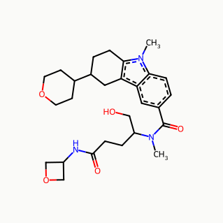 CN(C(=O)c1ccc2c(c1)c1c(n2C)CCC(C2CCOCC2)C1)C(CO)CCC(=O)NC1COC1